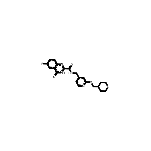 O=C(NCc1ccnc(OCC2CCOCC2)c1)c1nc2ccc(F)cc2c(=O)[nH]1